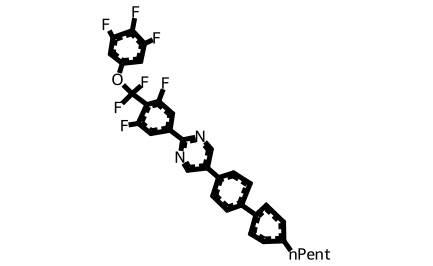 CCCCCc1ccc(-c2ccc(-c3cnc(-c4cc(F)c(C(F)(F)Oc5cc(F)c(F)c(F)c5)c(F)c4)nc3)cc2)cc1